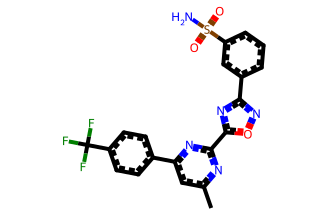 Cc1cc(-c2ccc(C(F)(F)F)cc2)nc(-c2nc(-c3cccc(S(N)(=O)=O)c3)no2)n1